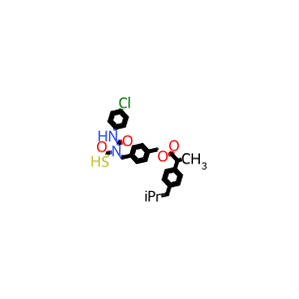 CC(C)Cc1ccc(C(C)C(=O)OCc2ccc(CN(C(=O)S)C(=O)Nc3ccc(Cl)cc3)cc2)cc1